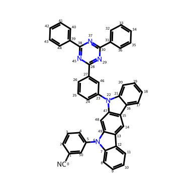 N#Cc1cccc(-n2c3ccccc3c3cc4c5ccccc5n(-c5cccc(-c6nc(-c7ccccc7)nc(-c7ccccc7)n6)c5)c4cc32)c1